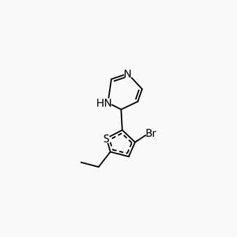 CCc1cc(Br)c(C2C=CN=CN2)s1